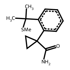 CSC(C)(C)c1ccccc1C1(C(N)=O)CC1